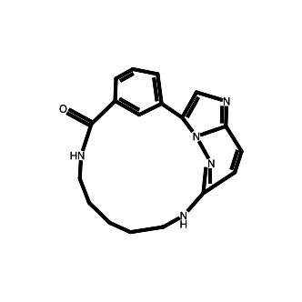 O=C1NCCCCCNc2ccc3ncc(n3n2)-c2cccc1c2